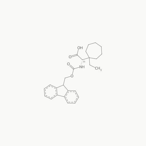 CCC1([C@H](NC(=O)OCC2c3ccccc3-c3ccccc32)C(=O)O)CCCCCC1